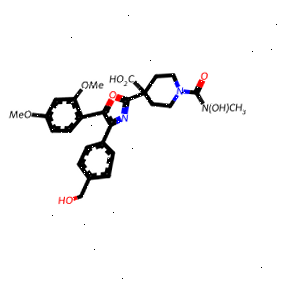 COc1ccc(-c2oc(C3(C(=O)O)CCN(C(=O)N(C)O)CC3)nc2-c2ccc(CO)cc2)c(OC)c1